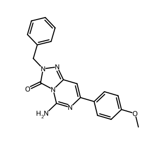 COc1ccc(-c2cc3nn(Cc4ccccc4)c(=O)n3c(N)n2)cc1